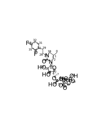 CC1=CN([C@@H]2O[C@H](COP(=O)(O)OP(=O)(O)OP(=O)(O)O)[C@H](O)C2O)C(=O)N(CCc2ccc(F)cc2F)C1